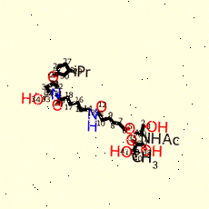 CC(=O)N[C@@H](CO)C(OCCCCCC(=O)NCCCCCC(=O)N1C[C@H](OC2CCC(C(C)C)C2)C[C@H]1CO)OC(CO)[C@@H](C)O